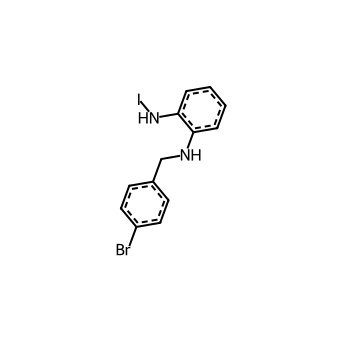 Brc1ccc(CNc2ccccc2NI)cc1